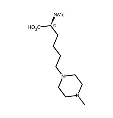 CN[C@@H](CCCCN1CCN(C)CC1)C(=O)O